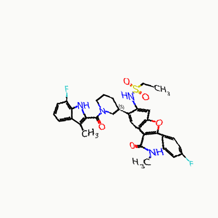 CCS(=O)(=O)Nc1cc2oc(-c3ccc(F)cc3)c(C(=O)NC)c2cc1[C@@H]1CCCN(C(=O)c2[nH]c3c(F)cccc3c2C)C1